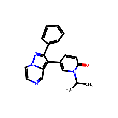 CC(C)n1cc(-c2c(-c3ccccc3)nn3ccncc23)ccc1=O